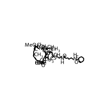 COc1cc2cc(c1Cl)N(C)C(=O)C[C@H](OC(=O)[C@H](C)N(C)C(=O)CCC(C)(C)SSCCNC(=O)CCCCCNC(=O)C1(F)C#CCCCCC1)[C@]1(C)O[C@H]1[C@H](C)[C@@H]1C[C@@](O)(NC(=O)O1)[C@H](OC)/C=C/C=C(\C)C2